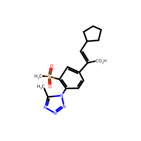 Cc1nnnn1-c1ccc(C(=CC2CCCC2)C(=O)O)cc1S(C)(=O)=O